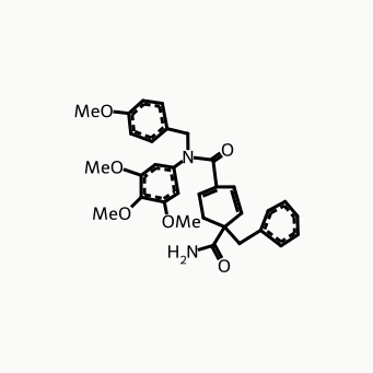 COc1ccc(CN(C(=O)C2=CCC(Cc3ccccc3)(C(N)=O)C=C2)c2cc(OC)c(OC)c(OC)c2)cc1